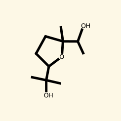 CC(O)C1(C)CCC(C(C)(C)O)O1